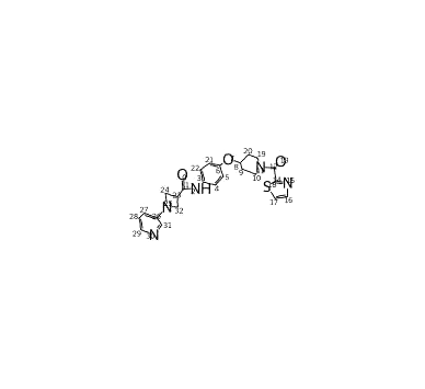 O=C(Nc1ccc(OC2CCN(C(=O)c3nccs3)CC2)cc1)C1CN(c2cccnc2)C1